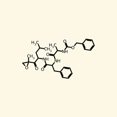 CC(C)CC(NC(=O)C(Cc1ccccc1)NC(=O)C(C)NC(=O)OCc1ccccc1)C(=O)C1(C)CO1